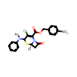 CC(=O)N(c1ccccc1)C1S[C@@H]2CC(=O)N2C(C(=O)OCc2ccc([N+](=O)[O-])cc2)=C1Cl